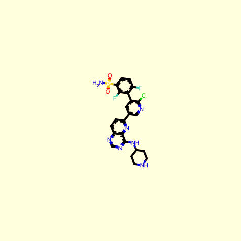 NS(=O)(=O)c1ccc(F)c(-c2cc(-c3ccc4ncnc(NC5CCNCC5)c4n3)cnc2Cl)c1F